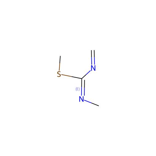 C=N/C(=N\C)SC